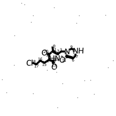 CC1=C(CN2C=CCNC2)[NH+]([O-])C(=O)C(CCCCl)C1=O